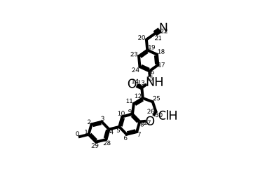 Cc1ccc(-c2ccc3c(c2)C=C(C(=O)Nc2ccc(CC#N)cc2)CCO3)cc1.Cl